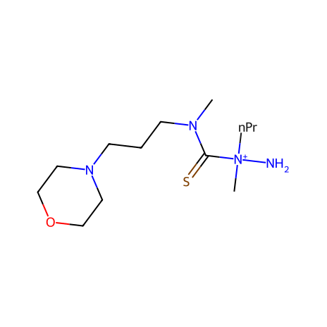 CCC[N+](C)(N)C(=S)N(C)CCCN1CCOCC1